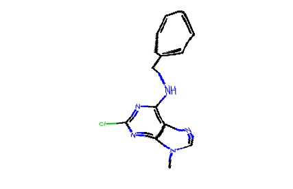 Cn1cnc2c(NCc3ccccc3)nc(Cl)nc21